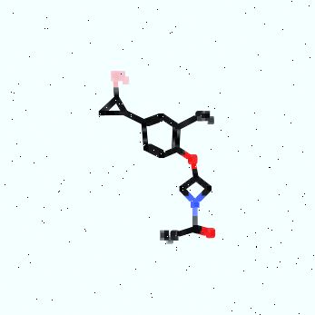 BC1CC1c1ccc(OC2CN(C(C)=O)C2)c(C)c1